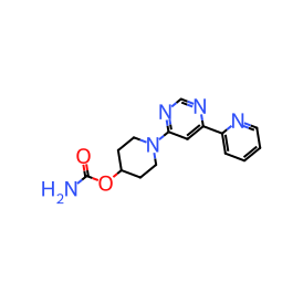 NC(=O)OC1CCN(c2cc(-c3ccccn3)ncn2)CC1